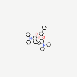 c1ccc(-c2cc3c4c(c2)Oc2cc(N(c5ccccc5)c5ccccc5)c5ccccc5c2B4c2c(cc(N(c4ccccc4)c4ccccc4)c4ccccc24)O3)cc1